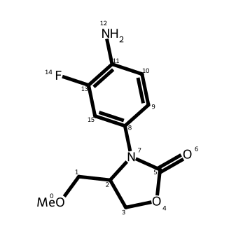 COCC1COC(=O)N1c1ccc(N)c(F)c1